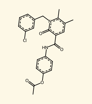 CC(=O)Oc1ccc(NC(=O)c2cc(C)c(C)n(Cc3cccc(Cl)c3)c2=O)cc1